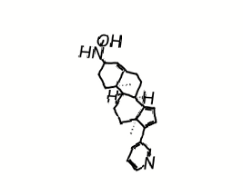 C[C@]12CC[C@H]3[C@@H](CCC4=CC(NO)CC[C@@]43C)C1=CC=C2c1cccnc1